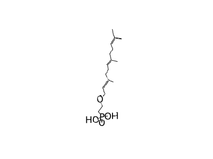 CC(C)=CCC/C(C)=C/CC/C(C)=C/COCCP(=O)(O)O